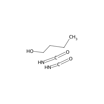 CCCCO.N=C=O.N=C=O